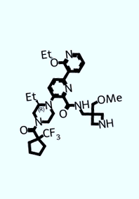 CCOc1ncccc1-c1ccc(N2CCN(C(=O)C3(C(F)(F)F)CCCC3)C[C@H]2CC)c(C(=O)NCC2(COC)CNC2)n1